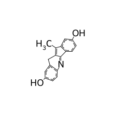 CC1=C2Cc3cc(O)ccc3N=C2c2ccc(O)cc21